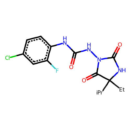 CCC1(C(C)C)NC(=O)N(NC(=O)Nc2ccc(Cl)cc2F)C1=O